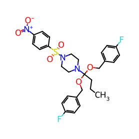 CCCC(OCc1ccc(F)cc1)(OCc1ccc(F)cc1)N1CCN(S(=O)(=O)c2ccc([N+](=O)[O-])cc2)CC1